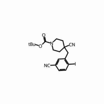 CC(C)(C)OC(=O)N1CCC(C#N)(Cc2cc(C#N)ccc2I)CC1